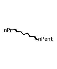 [CH2]CCCCC=CCCCCC=CCCC